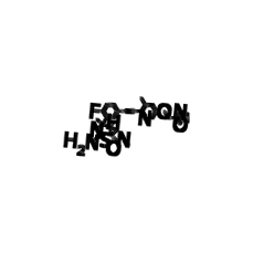 Cc1cc(OCc2ncco2)cnc1C#Cc1ccc(F)c([C@@]2(C)N=C(N)S[C@@]3(C(=O)N(C)C)C[C@H]32)c1